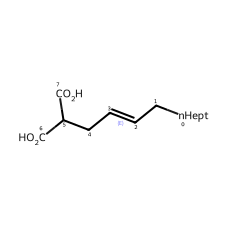 CCCCCCCC/C=C/CC(C(=O)O)C(=O)O